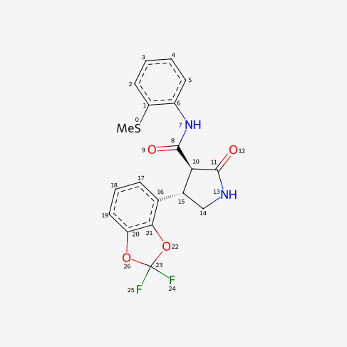 CSc1ccccc1NC(=O)[C@H]1C(=O)NC[C@@H]1c1cccc2c1OC(F)(F)O2